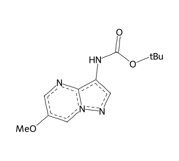 COc1cnc2c(NC(=O)OC(C)(C)C)cnn2c1